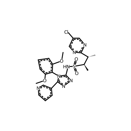 COc1cccc(OC)c1-n1c(NS(=O)(=O)[C@H](C)[C@@H](C)c2ncc(Cl)cn2)nnc1-c1cccnc1